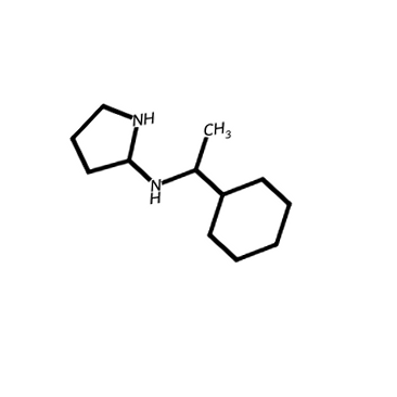 CC(NC1CCCN1)C1CCCCC1